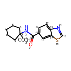 O=C(NC1(C(=O)O)CCCCC1)c1ccc2ncsc2c1